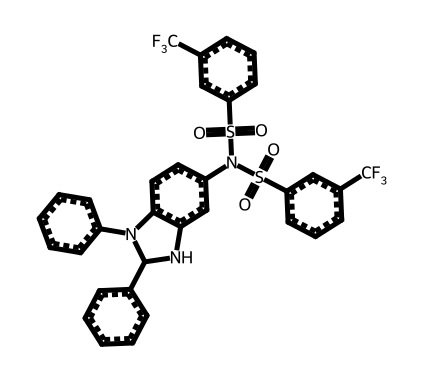 O=S(=O)(c1cccc(C(F)(F)F)c1)N(c1ccc2c(c1)NC(c1ccccc1)N2c1ccccc1)S(=O)(=O)c1cccc(C(F)(F)F)c1